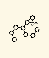 CC1(C)c2ccccc2-c2ccc(-c3cc(-c4cccc(-c5cccc(-c6ccncc6)c5)c4)cc(-c4cccc(-c5cccc(-c6ccncc6)c5)c4)c3)cc21